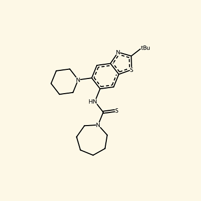 CC(C)(C)c1nc2cc(N3CCCCC3)c(NC(=S)N3CCCCCC3)cc2s1